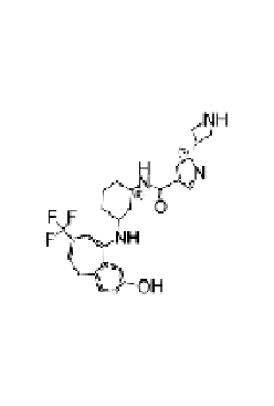 O=C(N[C@@H]1CCCC(NC2=CC(C(F)(F)F)=CCc3ccc(O)cc32)C1)C1=C[C@H](C2CNC2)N=C1